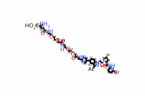 CC(=O)c1nn(CC(=O)N2C[C@H](F)C[C@H]2C(=O)Nc2cccc(Br)n2)c2ccc(-c3cnc(CNC(=O)COCCOCCNC(=O)COCCOCCNC(=O)CC[C@H](N)C(=O)O)nc3)cc12